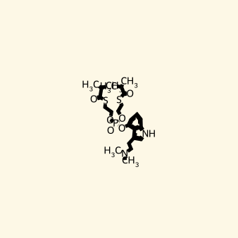 CC(C)C(=O)SCCOP(=O)(OCCSC(=O)C(C)C)Oc1cccc2[nH]cc(CCN(C)C)c12